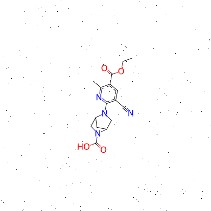 CCOC(=O)c1cc(C#N)c(N2CC3CC2CN3C(=O)O)nc1C